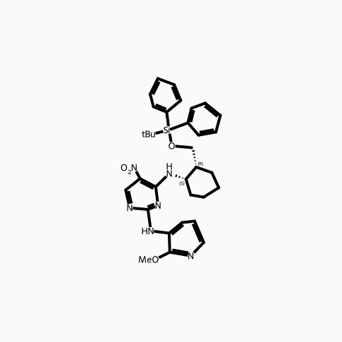 COc1ncccc1Nc1ncc([N+](=O)[O-])c(N[C@H]2CCCC[C@H]2CO[Si](c2ccccc2)(c2ccccc2)C(C)(C)C)n1